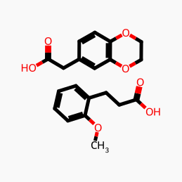 COc1ccccc1CCC(=O)O.O=C(O)Cc1ccc2c(c1)OCCO2